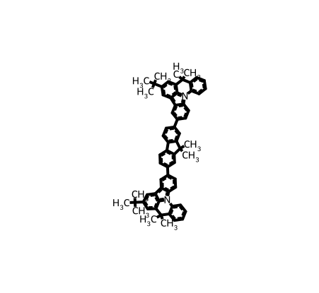 CC(C)(C)c1cc2c3c(c1)c1cc(-c4ccc5c(c4)C(C)(C)c4cc(-c6ccc7c(c6)c6cc(C(C)(C)C)cc8c6n7-c6ccccc6C8(C)C)ccc4-5)ccc1n3-c1ccccc1C2(C)C